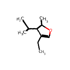 CCC1=COC(C)C1C(C)C